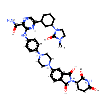 CN1CCN([C@@H]2CCCC(c3cnc(C(N)=O)c(Nc4ccc(N5CCN(c6ccc7c(c6)C(=O)N(C6CCC(=O)NC6=O)C7=O)CC5)cc4)n3)C2)C1=O